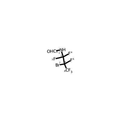 O=CNC(F)(F)C(F)(Br)C(F)(F)F